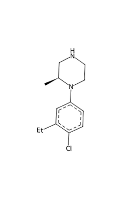 CCc1cc(N2CCNC[C@@H]2C)ccc1Cl